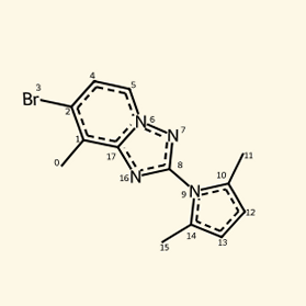 Cc1c(Br)ccn2nc(-n3c(C)ccc3C)nc12